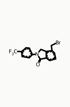 O=C1c2cccc(CBr)c2CN1c1ccc(C(F)(F)F)cc1